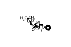 C=C(C)OC(=O)CN1C(=O)C2(C)N=C(COc3ccccc3)SSC12